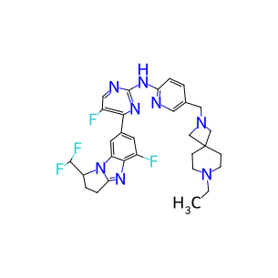 CCN1CCC2(CC1)CN(Cc1ccc(Nc3ncc(F)c(-c4cc(F)c5nc6n(c5c4)C(C(F)F)CC6)n3)nc1)C2